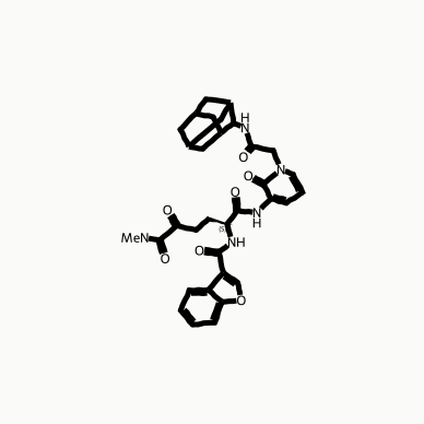 CNC(=O)C(=O)CC[C@H](NC(=O)c1coc2ccccc12)C(=O)Nc1cccn(CC(=O)NC2C3CC4CC(C3)CC2C4)c1=O